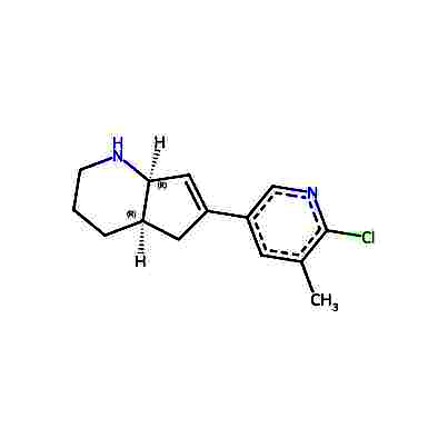 Cc1cc(C2=C[C@@H]3NCCC[C@@H]3C2)cnc1Cl